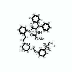 COC(=O)N[C@H](C(=O)Nc1ccccc1CC[C@@H]1CNC[C@@H](CSc2cccc(S(C)(=O)=O)c2)O1)C(c1ccccc1)c1ccccc1